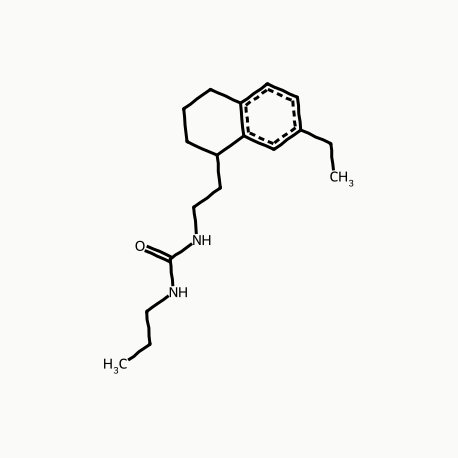 CCCNC(=O)NCCC1CCCc2ccc(CC)cc21